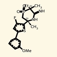 CC[C@@]1(C)C(=N)N[C@](C)(c2sc(-c3cccc(OC)c3)cc2F)CS1(=O)=O